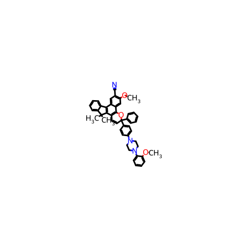 COc1cc2c3c(c4c(c2cc1C#N)-c1ccccc1C4(C)C)C=CC(c1ccccc1)(c1ccc(N2CCN(c4ccccc4OC)CC2)cc1)O3